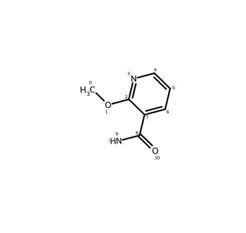 COc1ncccc1C([NH])=O